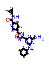 CN(c1ccccc1)c1nc(N)nc(-c2noc(-c3ccc(C(=O)NC4CC4)nc3)n2)n1